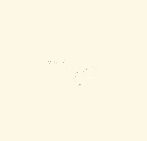 CNC(=O)COc1cccc2ccccc12